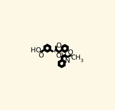 CC(Oc1ccc2c(c1)[C@H](O)[C@H](Cc1cccc(C(=O)O)c1)CO2)c1ccc2ccccc2n1